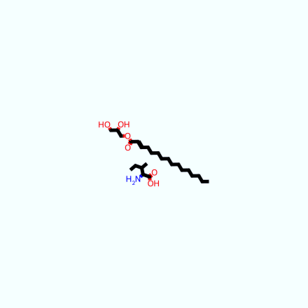 CCC(C)C(N)C(=O)O.CCCCCCCCCCCCC/C=C/C(=O)OCC(O)CO